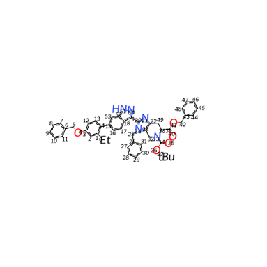 CCc1cc(OCc2ccccc2)ccc1-c1ccc2c(-c3nc4c(n3Cc3ccccc3)CN(C(=O)OC(C)(C)C)[C@H](C(=O)OCc3ccccc3)C4)n[nH]c2c1